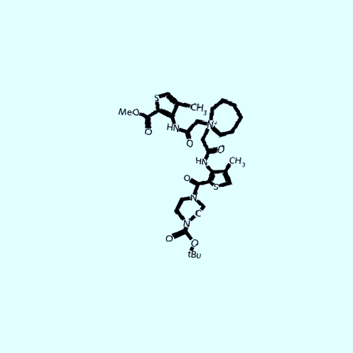 COC(=O)c1scc(C)c1NC(=O)C[N+]1(CC(=O)Nc2c(C)csc2C(=O)N2CCN(C(=O)OC(C)(C)C)CC2)CCCCCC1